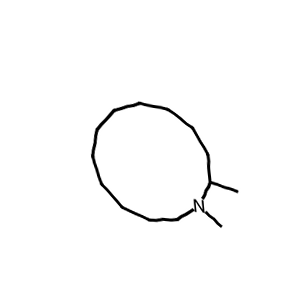 CC1CCCCCCCCCCCN1C